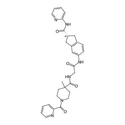 CC1(C(=O)NCC(=O)Nc2ccc3c(c2)C[C@H](C(=O)Nc2ccccn2)C3)CCN(C(=O)c2ccccn2)CC1